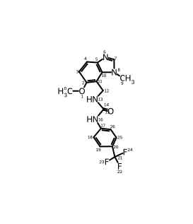 COc1ccc2ncn(C)c2c1CNC(=O)Nc1ccc(C(F)(F)F)cc1